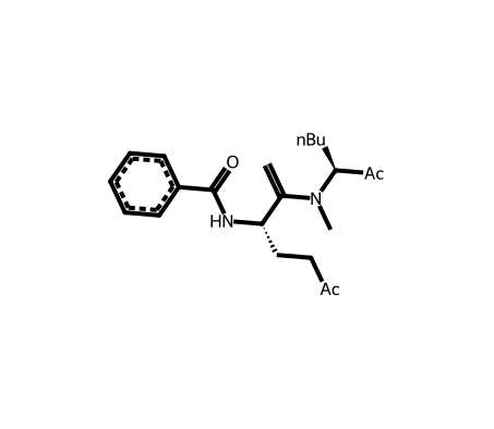 C=C([C@H](CCC(C)=O)NC(=O)c1ccccc1)N(C)[C@@H](CCCC)C(C)=O